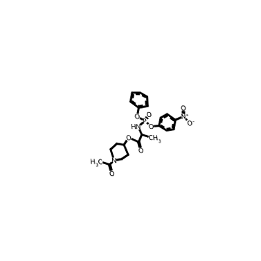 CC(=O)N1CCC(OC(=O)C(C)NP(=O)(Oc2ccccc2)Oc2ccc([N+](=O)[O-])cc2)CC1